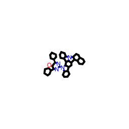 c1ccc(-c2nc(-n3c4ccccc4c4cc5c6c7ccccc7ccc6n6c7ccccc7c(c43)c56)nc3c2oc2ccccc23)cc1